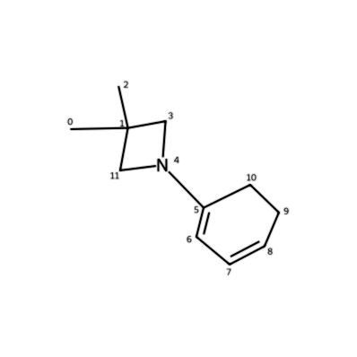 CC1(C)CN(C2=CC=CCC2)C1